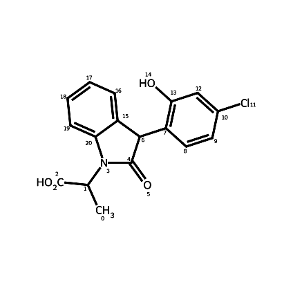 CC(C(=O)O)N1C(=O)C(c2ccc(Cl)cc2O)c2ccccc21